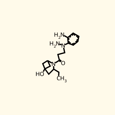 CCC1CC2(O)CC(C2)N1C(=O)CCN(N)c1ccccc1N